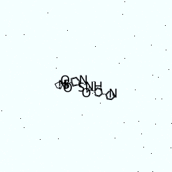 O=C(Nc1nc2ccc(S(=O)(=O)N3CCCC3)cc2s1)c1ccc(-c2cccnc2)cc1